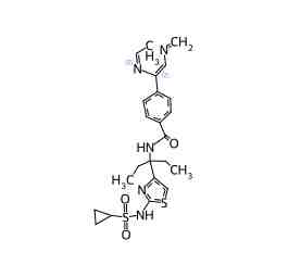 C=N/C=C(\N=C/C)c1ccc(C(=O)NC(CC)(CC)c2csc(NS(=O)(=O)C3CC3)n2)cc1